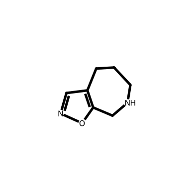 c1noc2c1CCCNC2